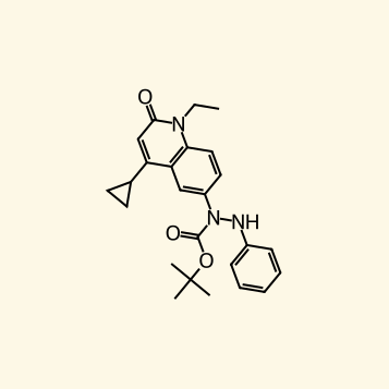 CCn1c(=O)cc(C2CC2)c2cc(N(Nc3ccccc3)C(=O)OC(C)(C)C)ccc21